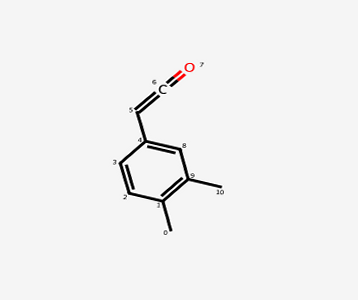 Cc1ccc(C=C=O)cc1C